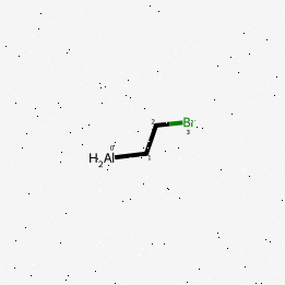 [AlH2][CH2]CBr